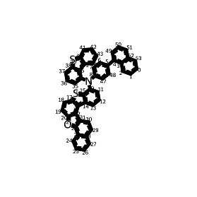 c1ccc2c(-c3ccc(N(c4cccc5c4sc4ccc6oc7c8ccccc8ccc7c6c45)c4cccc5sc6ccccc6c45)cc3)cccc2c1